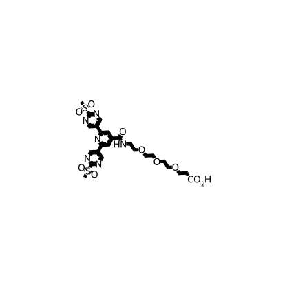 CS(=O)(=O)c1ncc(-c2cc(C(=O)NCCOCCOCCOCCC(=O)O)cc(-c3cnc(S(C)(=O)=O)nc3)n2)cn1